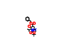 CCCCC(C(=O)OCc1ccccc1)C(=O)C(NC(=O)OC(C)(C)C)C(C)C